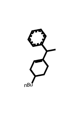 CCCCC1CC=C(C(C)c2ccccc2)CC1